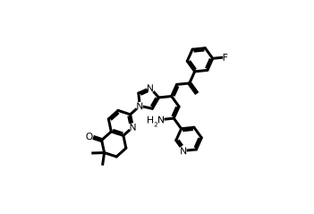 C=C(/C=C(\C=C(/N)c1cccnc1)c1cn(-c2ccc3c(n2)CCC(C)(C)C3=O)cn1)c1cccc(F)c1